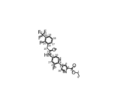 CCOC(=O)c1cn(-c2ncc(NC(=O)Cc3cccc(C(F)(F)F)c3F)cc2F)cn1